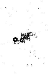 COC(=O)Nc1nc2cc(Sc3ccccc3F)cnc2[nH]1